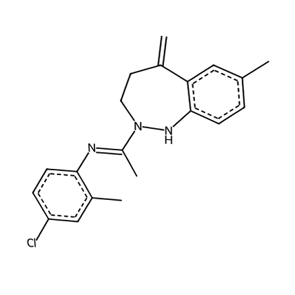 C=C1CCN(/C(C)=N/c2ccc(Cl)cc2C)Nc2ccc(C)cc21